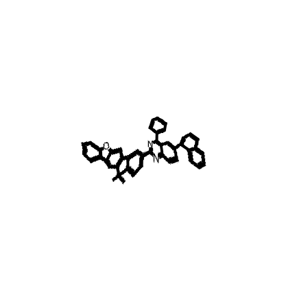 CC1(C)c2ccc(-c3nc(-c4ccccc4)c4cc(-c5cccc6ccccc56)ccc4n3)cc2-c2cc3oc4ccccc4c3cc21